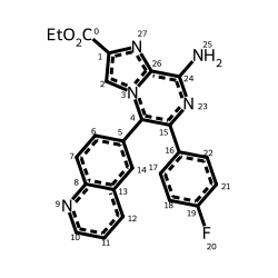 CCOC(=O)c1cn2c(-c3ccc4ncccc4c3)c(-c3ccc(F)cc3)nc(N)c2n1